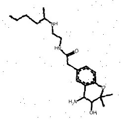 CCCCC(C)NCCNC(=O)Cc1ccc2c(c1)C(N)C(O)C(C)(C)O2